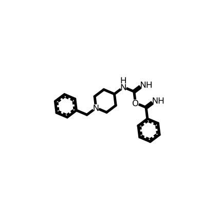 N=C(NC1CCN(Cc2ccccc2)CC1)OC(=N)c1ccccc1